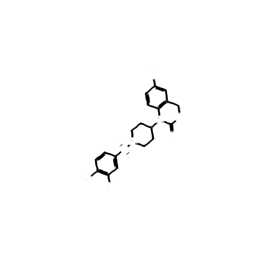 O=C1OCc2cc(F)ccc2N1C1CCN(S(=O)(=O)c2ccc(Br)c(C(F)(F)F)c2)CC1